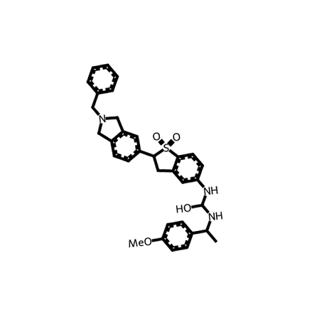 COc1ccc(C(C)NC(O)Nc2ccc3c(c2)CC(c2ccc4c(c2)CN(Cc2ccccc2)C4)S3(=O)=O)cc1